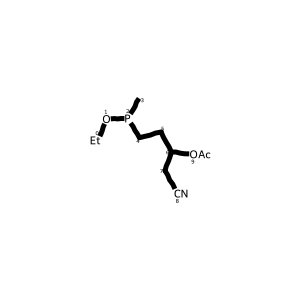 CCOP(C)CCC(CC#N)OC(C)=O